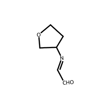 O=CC=NC1CCOC1